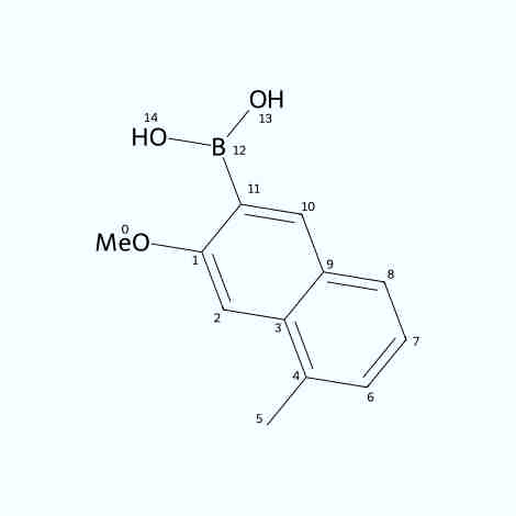 COc1cc2c(C)cccc2cc1B(O)O